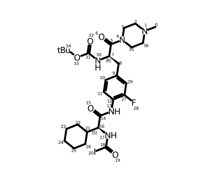 CN1CCN(C(=O)[C@@H](Cc2ccc(NC(=O)[C@@H](NC(=O)I)C3CCCCC3)c(F)c2)NC(=O)OC(C)(C)C)CC1